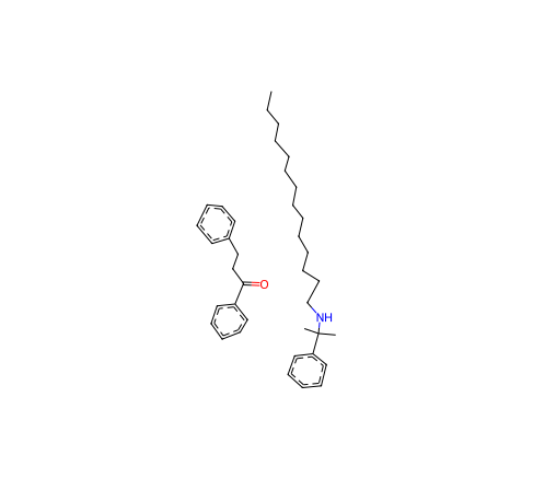 CCCCCCCCCCCCCCNC(C)(C)c1ccccc1.O=C(CCc1ccccc1)c1ccccc1